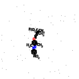 CCOC(=O)C(C)(C)CCCCOc1cc(C)c(/N=N/c2ccc([N+](=O)[O-])cc2)c(C)c1